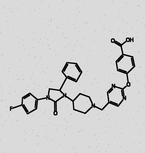 O=C(O)c1ccc(Oc2ncc(CN3CCC(N4C(=O)N(c5ccc(F)cc5)CC4c4ccccc4)CC3)cn2)cc1